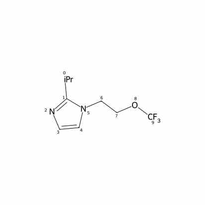 CC(C)c1nccn1CCOC(F)(F)F